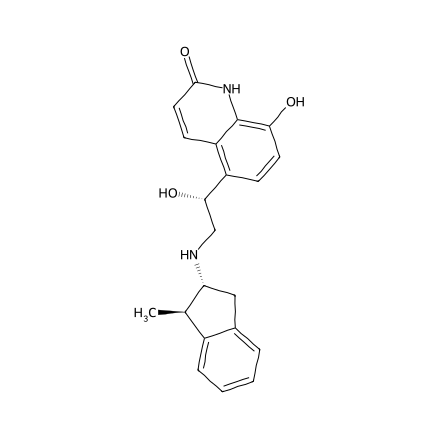 C[C@@H]1c2ccccc2C[C@H]1NC[C@H](O)c1ccc(O)c2[nH]c(=O)ccc12